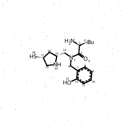 CC[C@H](C)[C@H](N)C(=O)N(Cc1ccccc1O)C[C@H]1C[C@@H](S)CN1